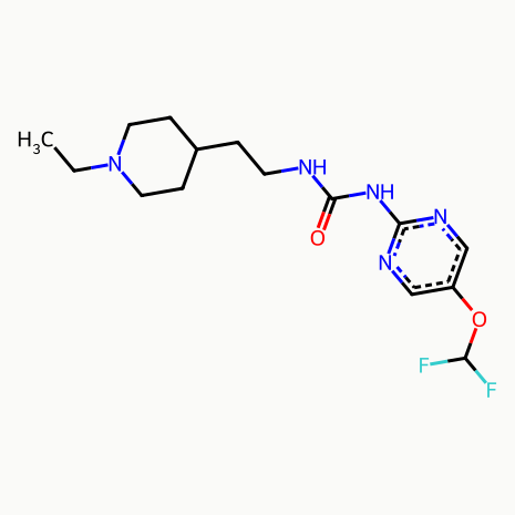 CCN1CCC(CCNC(=O)Nc2ncc(OC(F)F)cn2)CC1